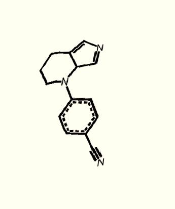 N#Cc1ccc(N2CCCC3=CN=CC32)cc1